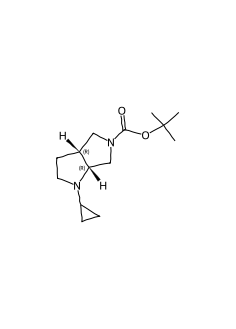 CC(C)(C)OC(=O)N1C[C@H]2CCN(C3CC3)[C@H]2C1